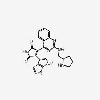 O=C1NC(=O)C(c2c[nH]c3sccc23)=C1c1nc(NCC2CCCN2)nc2ccccc12